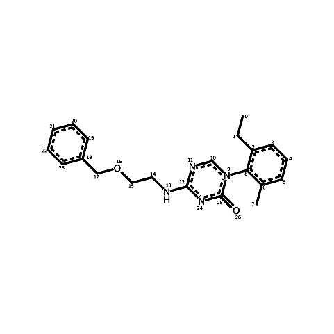 CCc1cccc(C)c1-n1cnc(NCCOCc2ccccc2)nc1=O